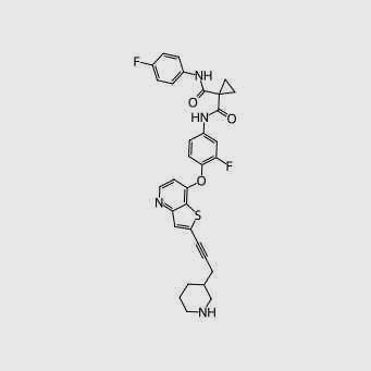 O=C(Nc1ccc(F)cc1)C1(C(=O)Nc2ccc(Oc3ccnc4cc(C#CCC5CCCNC5)sc34)c(F)c2)CC1